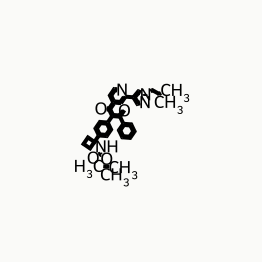 CC(C)Cn1cc(-c2nccc3c(=O)c(-c4ccc(C5(NC(=O)OC(C)(C)C)CCC5)cc4)c(-c4ccccc4)oc23)cn1